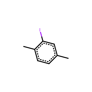 Cc1ccc(C)c(I)c1